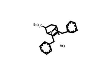 CCOC(=O)C1CC2C(C)=CC1N(Cc1ccccc1)C2Cc1ccccc1.Cl